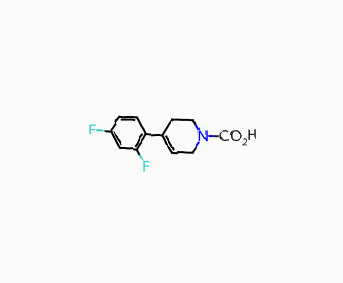 O=C(O)N1CC=C(c2ccc(F)cc2F)CC1